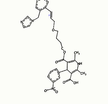 CC1=C(C(=O)O)C(c2cccc([N+](=O)[O-])c2)C(C(=O)OCCCCOC/C=C/c2ccccc2Cn2ccnc2)=C(C)N1